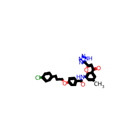 Cc1cc(NC(=O)c2ccc(OCCCc3ccc(Cl)cc3)cc2)c2oc(-c3nnn[nH]3)cc(=O)c2c1